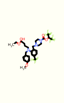 CCOC(O)CCCN(Cc1ccc(OC)cc1)c1cc(C(F)(F)F)ccc1CN1CCN(C(=O)OC(C(F)(F)F)C(F)(F)F)CC1